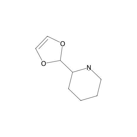 C1=COC(C2CCCC[N]2)O1